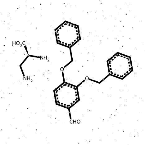 NC[C@H](N)C(=O)O.O=Cc1ccc(OCc2ccccc2)c(OCc2ccccc2)c1